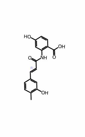 Cc1ccc(/C=C/C(=O)Nc2cc(O)ccc2C(=O)O)cc1O